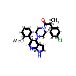 [CH2][C@H](C(=O)N1CCN(c2c(-c3ccccc3OC)cnc3[nH]ccc23)CC1)c1ccc(Cl)cc1